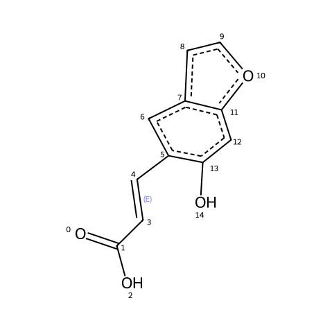 O=C(O)/C=C/c1cc2ccoc2cc1O